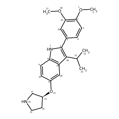 COc1ccc(-c2[nH]c3ccc(O[C@H]4CCNC4)cc3c2C(C)C)cc1OC